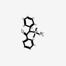 C[N+](C)(C)C(C(=O)c1ccccc1)c1ccccc1.[Br-]